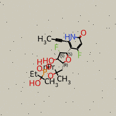 CC#Cc1[nH]c(=O)cc(F)c1[C@@H]1O[C@H](CC(C)(CCC)OP(=O)(O)C(C)(O)CC)C(O)[C@@H]1F